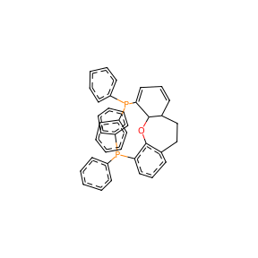 C1=CC2CCc3cccc(P(c4ccccc4)c4ccccc4)c3OC2C(P(c2ccccc2)c2ccccc2)=C1